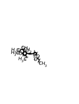 CCCC(=O)Oc1ccc(C#Cc2cc3c(cc2CC)OC(C)(C)CC3(C)C)s1